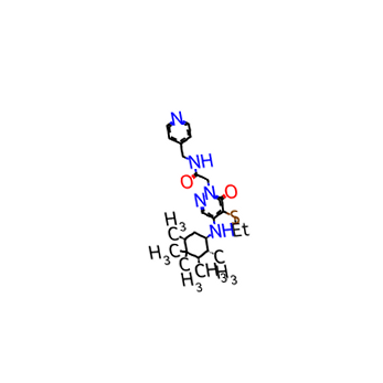 CCSc1c(N[C@@H]2C[C@H](C)C(C)(C)[C@H](C)[C@H]2C)cnn(CC(=O)NCc2ccncc2)c1=O